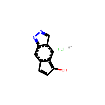 Cl.OC1=c2cc3c(cc2C=C1)=NN=C3.[H+]